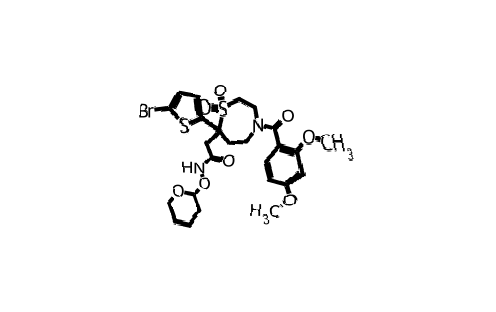 COc1ccc(C(=O)N2CCC(CC(=O)NOC3CCCCO3)(c3ccc(Br)s3)S(=O)(=O)CC2)c(OC)c1